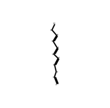 [CH]=CCC=CC=CC=CCC